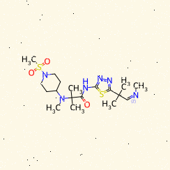 C/N=C\C(C)(C)c1nnc(NC(=O)C(C)(C)N(C)C2CCN(S(C)(=O)=O)CC2)s1